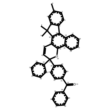 Cc1ccc2c(c1)C(C)(C)c1c3c(c4ccccc4c1-2)OC(c1ccccc1)(c1ccc(C(=O)c2ccccc2)cc1)C=C3